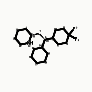 FC1(F)CCC([C@@H](C[C@H]2CCCCN2)C2CCCCC2)CC1